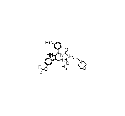 C[C@@]12Cc3c([nH]c4ccc(OC(F)F)cc34)[C@@H](c3cccc(O)c3)N1C(=O)N(CCCN1CCOCC1)C2=O